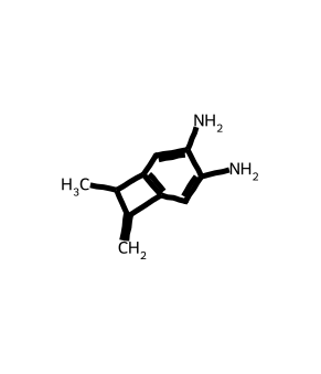 C=C1c2cc(N)c(N)cc2C1C